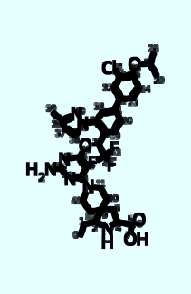 CCC1NC(C(=O)O)CC12CCN(c1cc(O[C@H](c3ccc(-c4ccc(OC(C)C)c(Cl)c4)cc3-n3ccc(C)n3)C(F)(F)F)nc(N)n1)CC2